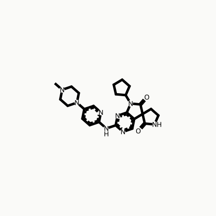 CN1CCN(c2ccc(Nc3ncc4c(n3)N(C3CCCC3)C(=O)C43CCNC3=O)nc2)CC1